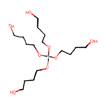 OCCCC[O][Ti]([O]CCCCO)([O]CCCCO)[O]CCCCO